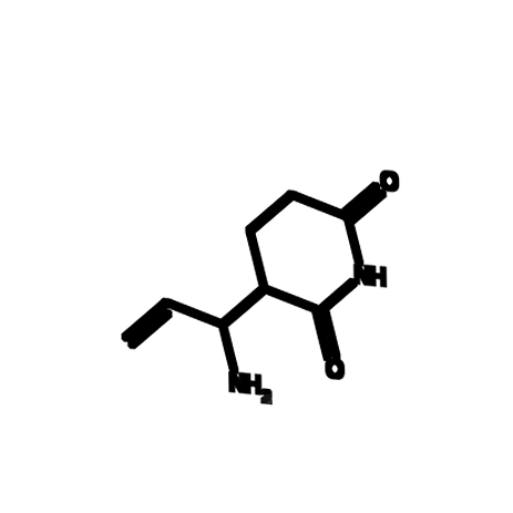 C=CC(N)C1CCC(=O)NC1=O